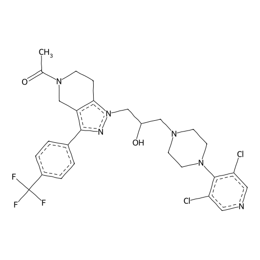 CC(=O)N1CCc2c(c(-c3ccc(C(F)(F)F)cc3)nn2CC(O)CN2CCN(c3c(Cl)cncc3Cl)CC2)C1